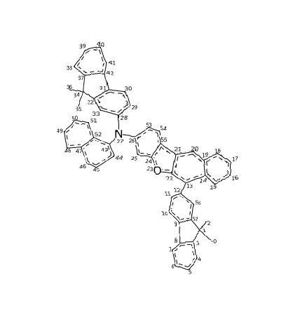 CC1(C)c2ccccc2-c2ccc(-c3c4ccccc4cc4c3oc3cc(N(c5ccc6c(c5)C(C)(C)c5ccccc5-6)c5cccc6ccccc56)ccc34)cc21